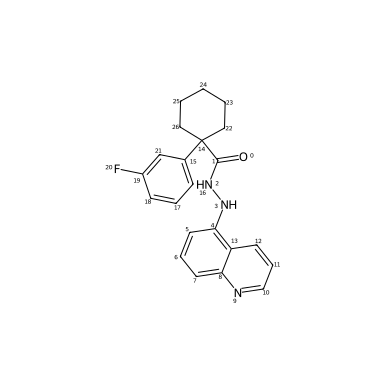 O=C(NNc1cccc2ncccc12)C1(c2cccc(F)c2)CCCCC1